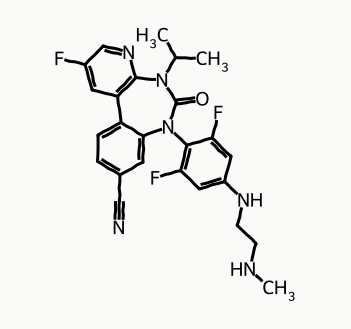 CNCCNc1cc(F)c(N2C(=O)N(C(C)C)c3ncc(F)cc3-c3ccc(C#N)cc32)c(F)c1